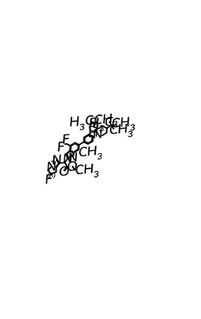 CCOC(=O)C(c1ncn2c1C[C@@H](F)C2)n1cc2c(C(F)F)cc(-c3ccc(N4CCC(C(C)(C)C)CC4O[SiH](C)C)cc3)c(C)c2n1